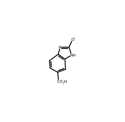 O=C(O)c1ccc2nc(Cl)[nH]c2c1